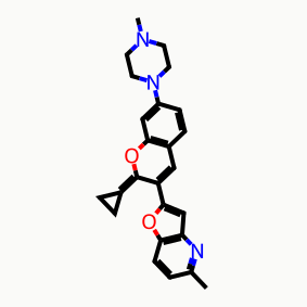 Cc1ccc2oc(C3=Cc4ccc(N5CCN(C)CC5)cc4OC3=C3CC3)cc2n1